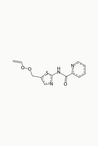 C=COOCc1cnc(NC(=O)c2ccccn2)s1